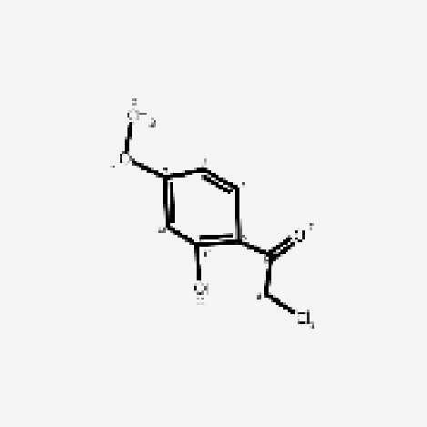 COc1ccc(C(=O)CCl)c(O)c1